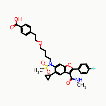 CNC(=O)c1c(-c2ccc(F)cc2)oc2cc(N(CCCCOCCc3ccc(C(=O)O)cc3)S(C)(=O)=O)c(C3CC3)cc12